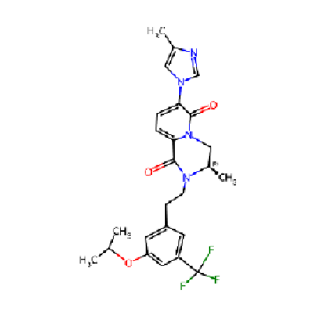 Cc1cn(-c2ccc3n(c2=O)C[C@@H](C)N(CCc2cc(OC(C)C)cc(C(F)(F)F)c2)C3=O)cn1